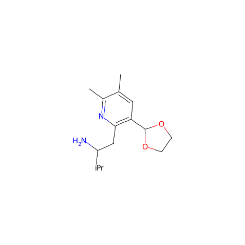 Cc1cc(C2OCCO2)c(CC(N)C(C)C)nc1C